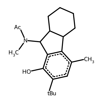 CC(=O)N(C)C1c2c(O)c(C(C)(C)C)cc(C)c2C2CCCCC21